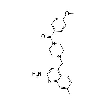 COc1ccc(C(=O)N2CCN(Cc3cc(N)nc4cc(C)ccc34)CC2)cc1